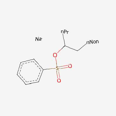 CCCCCCCCCCC(CCC)OS(=O)(=O)c1ccccc1.[Na]